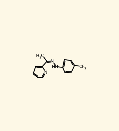 CC(=NNc1ccc(C(F)(F)F)cc1)c1ccccn1